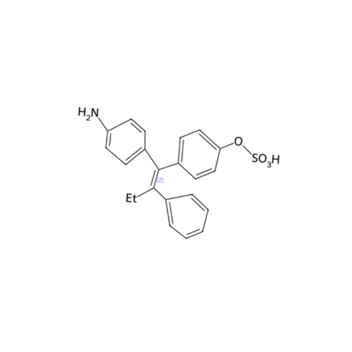 CC/C(=C(\c1ccc(N)cc1)c1ccc(OS(=O)(=O)O)cc1)c1ccccc1